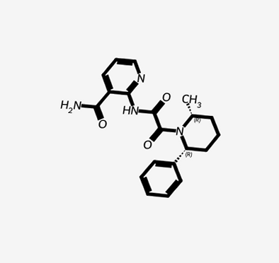 C[C@@H]1CCC[C@H](c2ccccc2)N1C(=O)C(=O)Nc1ncccc1C(N)=O